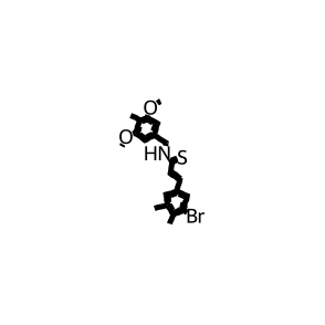 COc1cc(CNC(=S)/C=C/c2cc(C)c(C)c(Br)c2)cc(OC)c1C